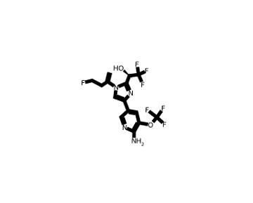 C=C(CCF)n1cc(-c2cnc(N)c(OC(F)(F)F)c2)nc1[C@@H](O)C(F)(F)F